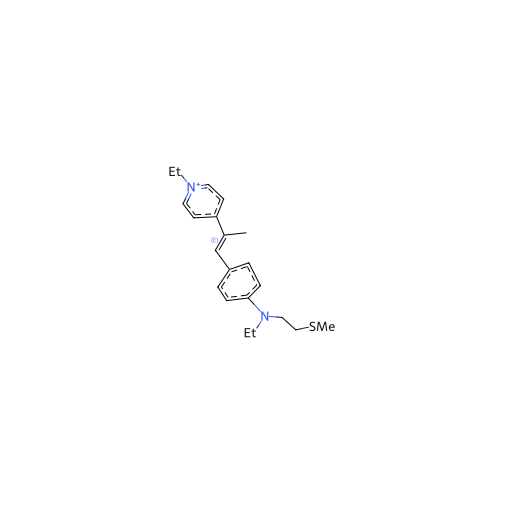 CCN(CCSC)c1ccc(/C=C(\C)c2cc[n+](CC)cc2)cc1